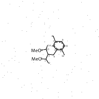 COC(C)C(Cc1cc(C)ccc1C)C(C)OC